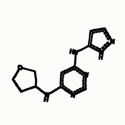 c1cc(Nc2cc(NC3CCOC3)ncn2)[nH]n1